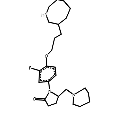 O=C1CCC(CN2CCCCC2)N1c1ccc(OCCCC2CCCCCNC2)c(F)c1